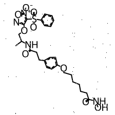 CC(COc1no[n+]([O-])c1S(=O)(=O)c1ccccc1)NC(=O)CCc1ccc(OCCCCCCC(=O)NO)cc1